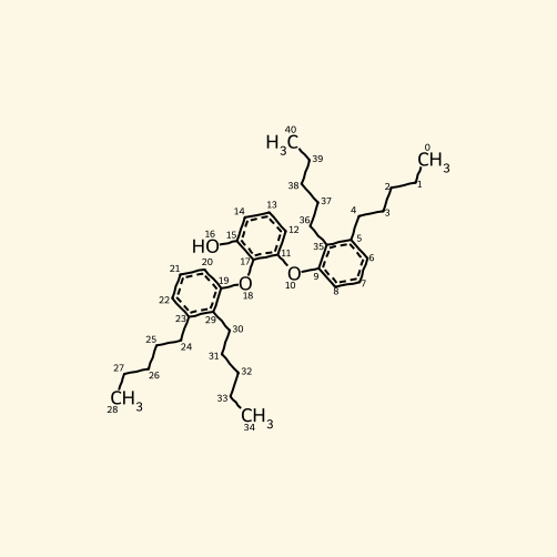 CCCCCc1cccc(Oc2cccc(O)c2Oc2cccc(CCCCC)c2CCCCC)c1CCCCC